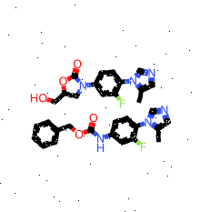 Cc1cncn1-c1ccc(N2CC(CO)OC2=O)cc1F.Cc1cncn1-c1ccc(NC(=O)OCc2ccccc2)cc1F